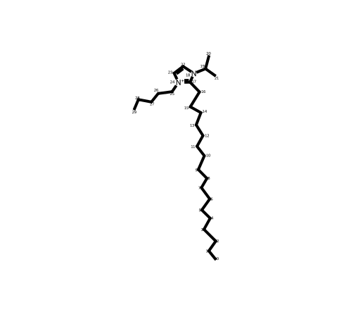 CCCCCCCCCCCCCCCCCc1n(C(C)C)cc[n+]1CCCCC